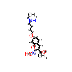 CCNCCCCOc1ccc2cc(C(C)=O)c(=NO)oc2c1